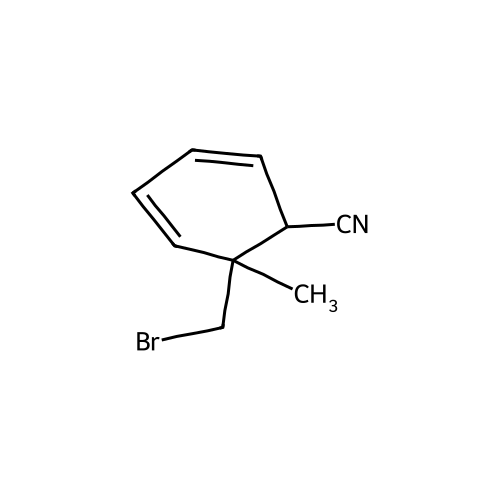 CC1(CBr)C=CC=CC1C#N